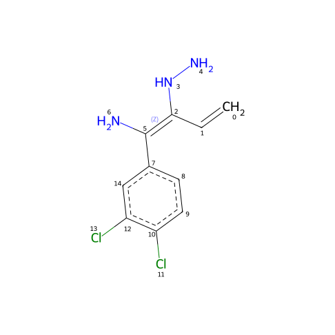 C=C/C(NN)=C(/N)c1ccc(Cl)c(Cl)c1